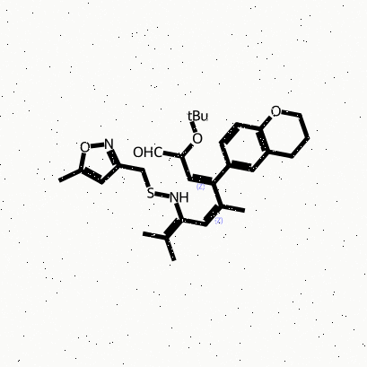 CC(C)=C(/C=C(C)\C(=C\C(C=O)OC(C)(C)C)c1ccc2c(c1)CCCO2)NSCc1cc(C)on1